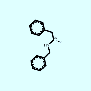 C[C@@H](Cc1ccccc1)NCc1ccccc1